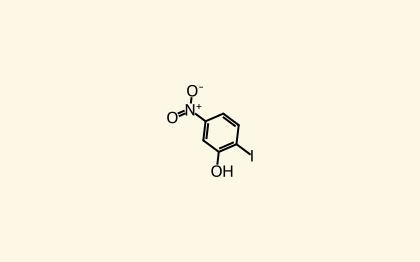 O=[N+]([O-])c1ccc(I)c(O)c1